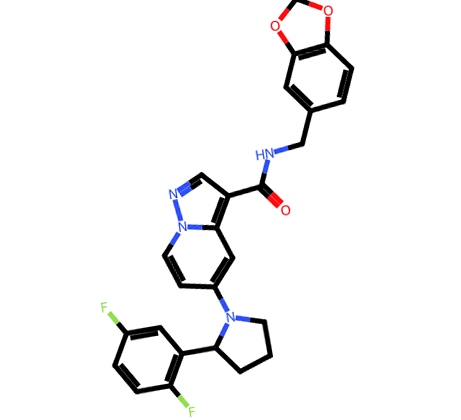 O=C(NCc1ccc2c(c1)OCO2)c1cnn2ccc(N3CCCC3c3cc(F)ccc3F)cc12